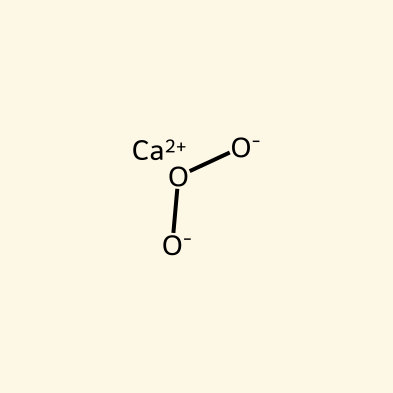 [Ca+2].[O-]O[O-]